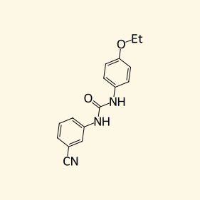 CCOc1ccc(NC(=O)Nc2cccc(C#N)c2)cc1